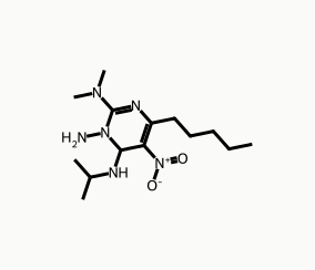 CCCCCC1=C([N+](=O)[O-])C(NC(C)C)N(N)C(N(C)C)=N1